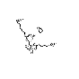 C1CC2OC12.CCCCCCCCCCCCCCCCCC(=O)O[C@H](CO)[C@H]1OC[C@H](O)[C@H]1OC(=O)CCCCC(=O)O